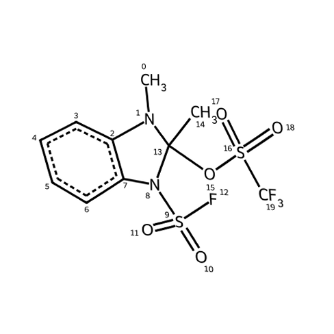 CN1c2ccccc2N(S(=O)(=O)F)C1(C)OS(=O)(=O)C(F)(F)F